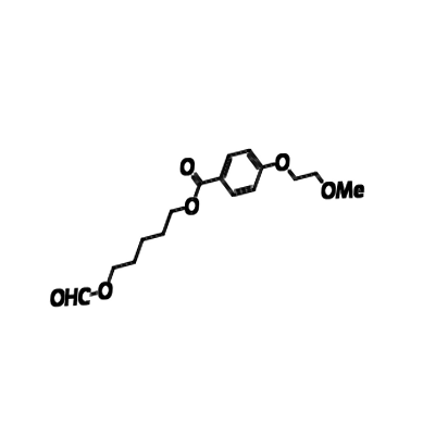 COCCOc1ccc(C(=O)OCCCCCOC=O)cc1